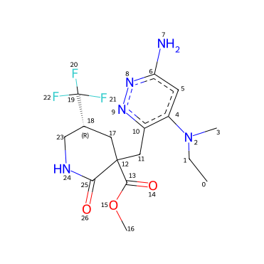 CCN(C)c1cc(N)nnc1CC1(C(=O)OC)C[C@@H](C(F)(F)F)CNC1=O